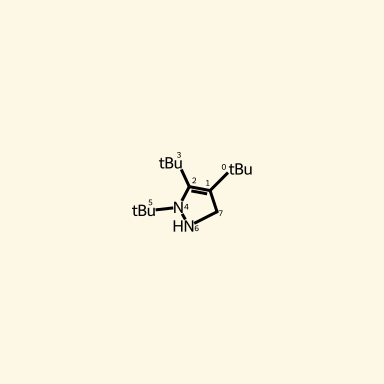 CC(C)(C)C1=C(C(C)(C)C)N(C(C)(C)C)NC1